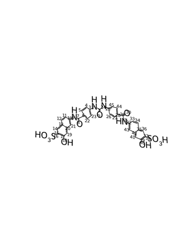 O=C(Nc1ccc(C(=O)Nc2ccc3cc(S(=O)(=O)O)c(O)cc3c2)cc1)Nc1ccc(C(=O)Nc2ccc3cc(S(=O)(=O)O)c(O)cc3c2)cc1